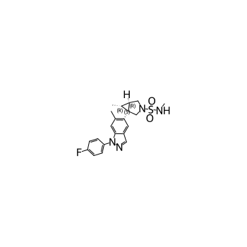 CNS(=O)(=O)N1C[C@@H]2[C@@H](C)[C@]2(c2cc3cnn(-c4ccc(F)cc4)c3cc2C)C1